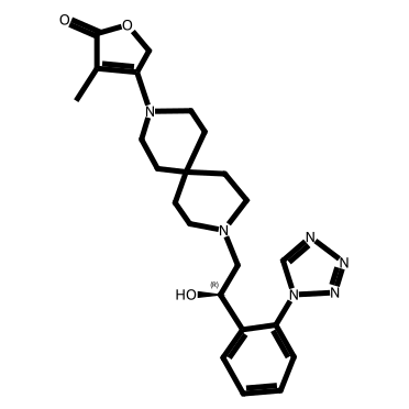 CC1=C(N2CCC3(CCN(C[C@H](O)c4ccccc4-n4cnnn4)CC3)CC2)COC1=O